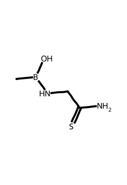 CB(O)NCC(N)=S